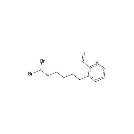 C=Cc1ncccc1CCCCCC(Br)Br